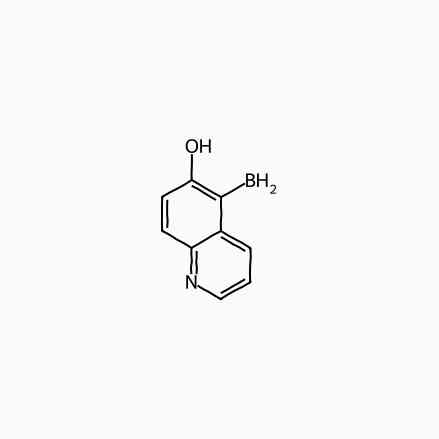 Bc1c(O)ccc2ncccc12